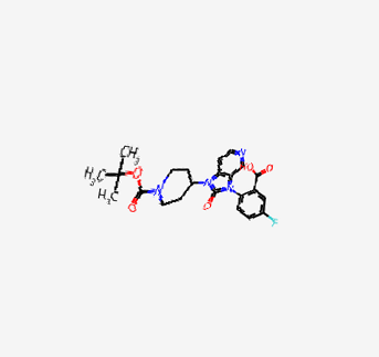 CC(C)(C)OC(=O)N1CCC(n2c(=O)n(-c3ccc(F)cc3C(=O)O)c3cnccc32)CC1